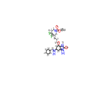 C[C@H]1CN(C(=O)OC(C)(C)C)C[C@@H](CCCOc2cc(NCc3ccccc3)cc3[nH]c(=O)n(C)c23)C1(F)F